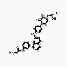 C=CC(=O)Nc1cccc(-c2nccc3cnc(Nc4ccc(N5CCN(CC(C)O)C(F)C5F)cc4)nc23)c1